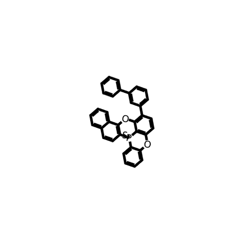 S=P12c3ccccc3Oc3ccc(-c4cccc(-c5ccccc5)c4)c(c31)Oc1c2ccc2ccccc12